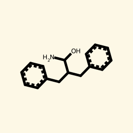 NC(O)C(Cc1ccccc1)Cc1ccccc1